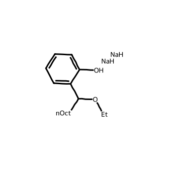 CCCCCCCCC(OCC)c1ccccc1O.[NaH].[NaH]